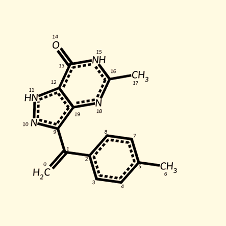 C=C(c1ccc(C)cc1)c1n[nH]c2c(=O)[nH]c(C)nc12